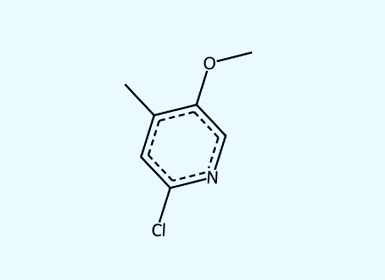 COc1cnc(Cl)cc1C